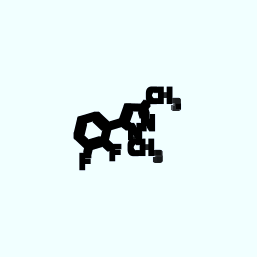 Cc1cc(-c2cccc(F)c2F)n(C)n1